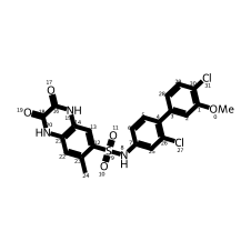 COc1cc(-c2ccc(NS(=O)(=O)c3cc4[nH]c(=O)c(=O)[nH]c4cc3C)cc2Cl)ccc1Cl